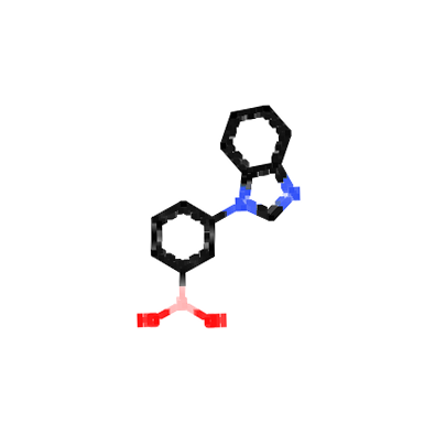 OB(O)c1cccc(-n2cnc3ccccc32)c1